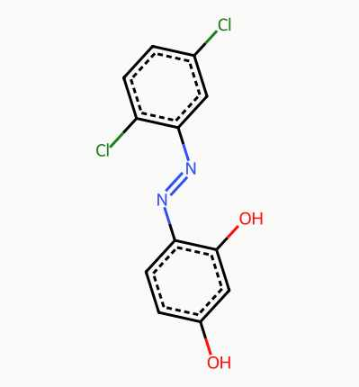 Oc1ccc(N=Nc2cc(Cl)ccc2Cl)c(O)c1